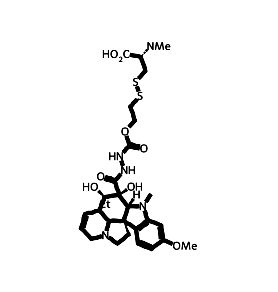 CC[C@]12C=CCN3CC[C@@]4(c5ccc(OC)cc5N(C)[C@H]4[C@@](O)(C(=O)NNC(=O)OCCSSC[C@@H](NC)C(=O)O)[C@@H]1O)C32